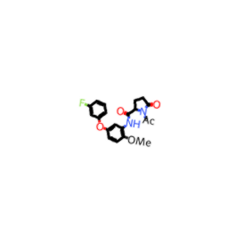 COc1ccc(Oc2cccc(F)c2)cc1NC(=O)C1CCC(=O)N1C(C)=O